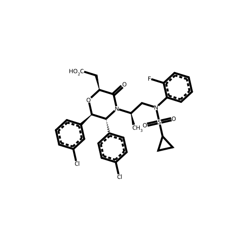 C[C@H](CN(c1ccccc1F)S(=O)(=O)C1CC1)N1C(=O)[C@H](CC(=O)O)O[C@H](c2cccc(Cl)c2)[C@H]1c1ccc(Cl)cc1